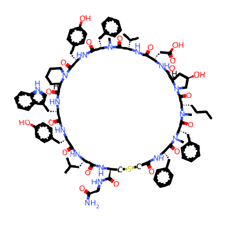 CCCC[C@H]1C(=O)N2C[C@H](O)C[C@@H]2C(=O)N[C@@H](CC(=O)O)C(=O)N[C@@H](C(C)C)C(=O)N(C)[C@@H](Cc2ccccc2)C(=O)N[C@@H](Cc2ccc(O)cc2)C(=O)N2CCCC[C@@H]2C(=O)N[C@@H](Cc2c[nH]c3ccccc23)C(=O)N[C@@H](Cc2ccc(O)cc2)C(=O)N[C@@H](CC(C)C)C(=O)N[C@H](C(=O)NCC(N)=O)CSCC(=O)N[C@@H](Cc2ccccc2)C(=O)N(C)[C@@H](Cc2ccccc2)C(=O)N1C